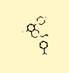 COc1ccc(N2CCN(C)CC2)c2c1CCN([C@H](C=O)c1ccc(C(C)C)cc1)C2